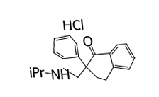 CC(C)NCCC1(c2ccccc2)CCc2ccccc2C1=O.Cl